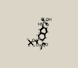 CNC(=O)[C@H]1Cc2ccc(NS(=O)(=O)O)cc2CN1C(=O)OC(C)(C)C